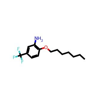 CCCCCCCOc1ccc(C(F)(F)F)cc1N